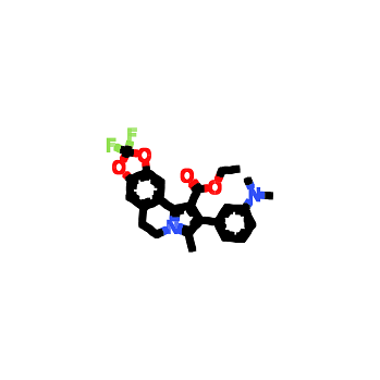 CCOC(=O)c1c(-c2cccc(N(C)C)c2)c(C)n2c1-c1cc3c(cc1CC2)OC(F)(F)O3